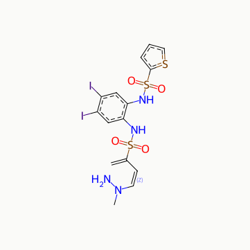 C=C(/C=C\N(C)N)S(=O)(=O)Nc1cc(I)c(I)cc1NS(=O)(=O)c1cccs1